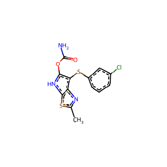 Cc1nc2c(Sc3cccc(Cl)c3)c(OC(N)=O)[nH]c2s1